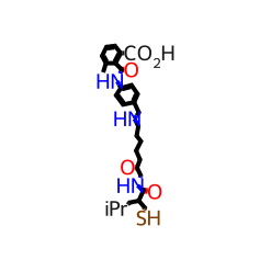 Cc1cccc(C(=O)O)c1C(=O)Nc1ccc(CNCCCCCC(=O)CNC(=O)C(CS)CC(C)C)cc1